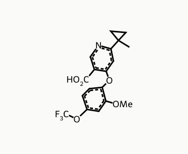 COc1cc(OC(F)(F)F)ccc1Oc1cc(C2(C)CC2)ncc1C(=O)O